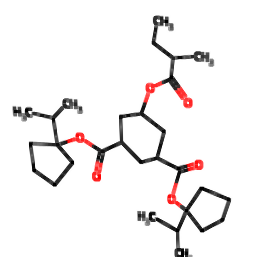 CCC(C)C(=O)OC1CC(C(=O)OC2(C(C)C)CCCC2)CC(C(=O)OC2(C(C)C)CCCC2)C1